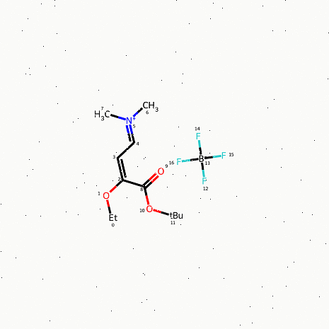 CCOC(=CC=[N+](C)C)C(=O)OC(C)(C)C.F[B-](F)(F)F